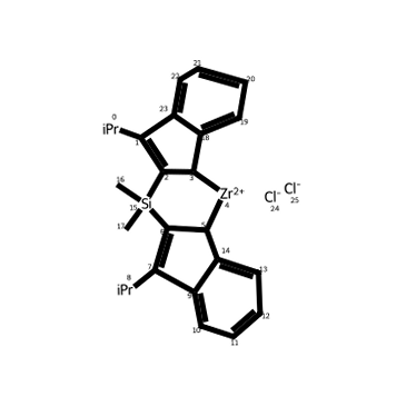 CC(C)C1=C2[CH]([Zr+2][CH]3C(=C(C(C)C)c4ccccc43)[Si]2(C)C)c2ccccc21.[Cl-].[Cl-]